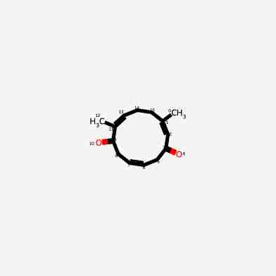 CC1=CC(=O)CC=CCC(=O)C(C)=CCC1